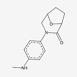 CNc1ccc(N2CC3CCC(O3)C2=O)cc1